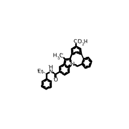 CC[C@H](NC(=O)c1ccc2c(c1)c(C)c1n2Cc2ccccc2-c2cc(C(=O)O)cc-1c2)c1ccccc1